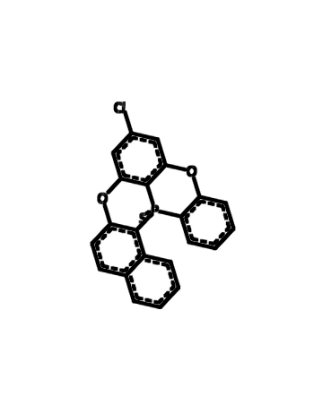 S=P12c3ccccc3Oc3cc(Cl)cc(c31)Oc1ccc3ccccc3c12